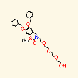 CC(C)(C)OC(=O)N(CCOCCOCCOCCO)Cc1ccc(OCc2ccccc2)c(OCc2ccccc2)c1